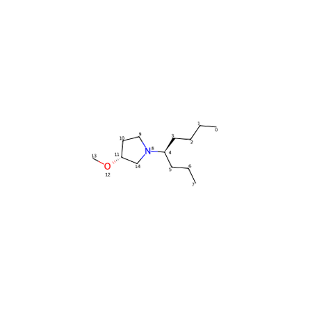 CCCC[C@@H](CCC)N1CC[C@@H](OC)C1